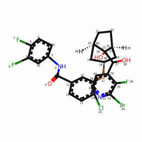 O=C(Nc1ccc(F)c(F)c1)c1ccc(Cl)c(S[C@H]2C[C@H]3CC[C@@H](C2)[C@]3(O)C(O)c2ccnc(Br)c2F)c1